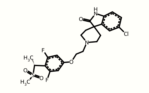 C[C@H](c1c(F)cc(OCCN2CCC3(CC2)C(=O)Nc2ccc(Cl)cc23)cc1F)S(C)(=O)=O